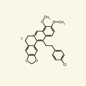 COc1ccc2c(CCc3ccc(Cl)cc3)c3[n+](cc2c1OC)CCc1cc2c(cc1-3)OCO2.[I-]